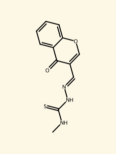 CNC(=S)NN=Cc1coc2ccccc2c1=O